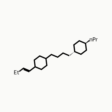 CC/C=C/C1CCC(CCCC[C@H]2CC[C@H](CCC)CC2)CC1